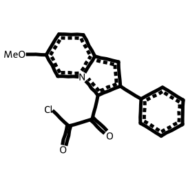 COc1ccc2cc(-c3ccccc3)c(C(=O)C(=O)Cl)n2c1